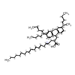 CCCCCCCCCCCCCCC/C=C/CC(CC1c2ccc(N(C)CCCC)cc2Oc2cc(N(CCCC)CCCC)ccc21)C(=O)O